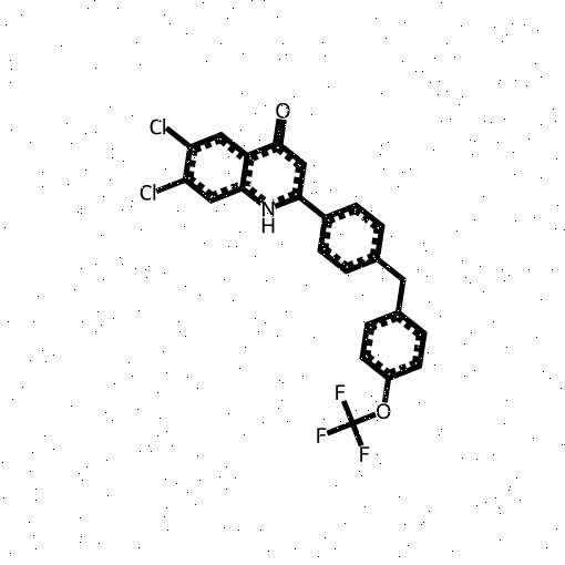 O=c1cc(-c2ccc(Cc3ccc(OC(F)(F)F)cc3)cc2)[nH]c2cc(Cl)c(Cl)cc12